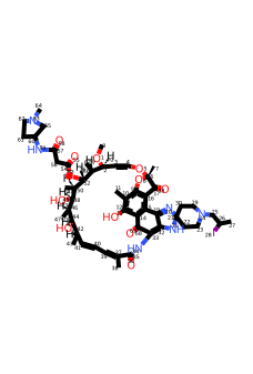 CO[C@H]1/C=C/O[C@@]2(C)Oc3c(C)c(O)c4c(c3C2=O)C2=NC3(CCN(CC(C)I)CC3)NC2=C(NC(=O)/C(C)=C\C=C\[C@H](C)[C@H](O)[C@@H](C)[C@@H](O)[C@@H](C)[C@H](OC(=O)CC(=O)NC2CCN(C)C2)[C@@H]1C)C4=O